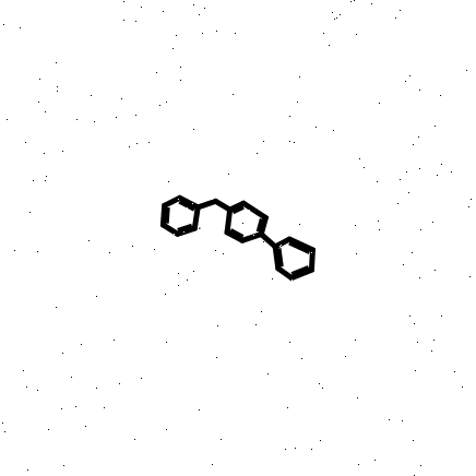 [c]1ccccc1Cc1ccc(-c2ccccc2)cc1